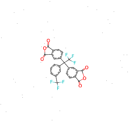 O=C1OC(=O)c2cc(C(c3cccc(C(F)(F)F)c3)(c3ccc4c(c3)C(=O)OC4=O)C(F)(F)F)ccc21